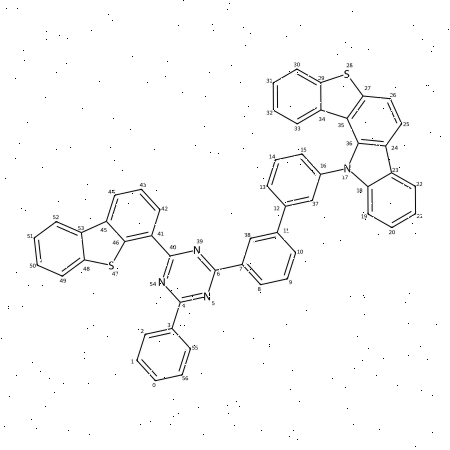 c1ccc(-c2nc(-c3cccc(-c4cccc(-n5c6ccccc6c6ccc7sc8ccccc8c7c65)c4)c3)nc(-c3cccc4c3sc3ccccc34)n2)cc1